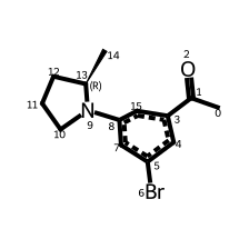 CC(=O)c1cc(Br)cc(N2CCC[C@H]2C)c1